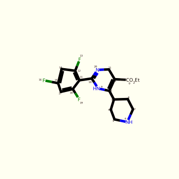 CCOC(=O)C1=C(C2CCNCC2)NC(c2c(F)cc(F)cc2F)=NC1